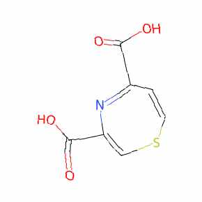 O=C(O)C1=CSC=CC(C(=O)O)=N1